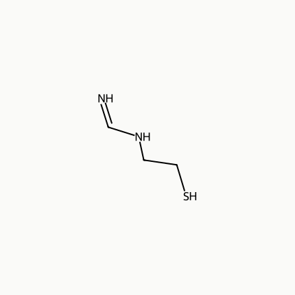 N=CNCCS